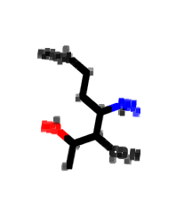 CCCCCCCCCC(N)C(C(=O)O)C(C)O